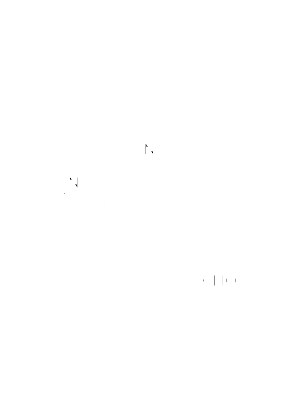 NC(=O)c1ncccc1C[C]=O